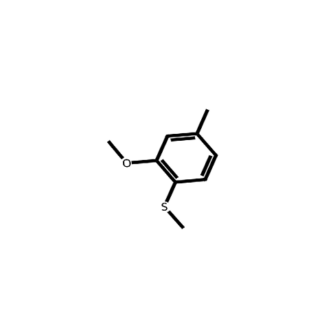 COc1cc(C)ccc1SC